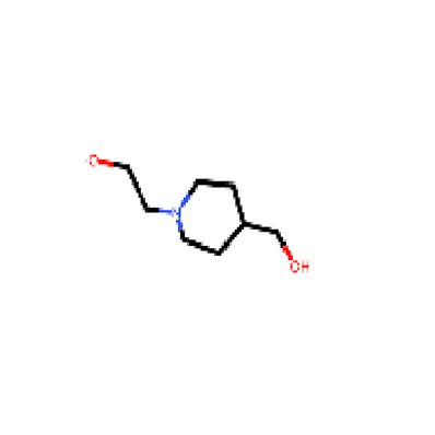 [O]CCN1CCC(CO)CC1